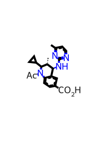 CC(=O)N1c2ccc(C(=O)O)cc2[C@H](Nc2nccc(C)n2)[C@@H](C)C1C1CC1